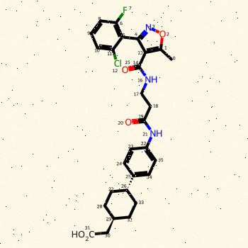 Cc1onc(-c2c(F)cccc2Cl)c1C(=O)NCCC(=O)Nc1ccc([C@H]2CC[C@H](CC(=O)O)CC2)cc1